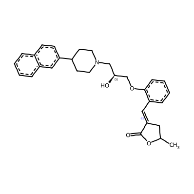 CC1C/C(=C\c2ccccc2OC[C@@H](O)CN2CCC(c3ccc4ccccc4c3)CC2)C(=O)O1